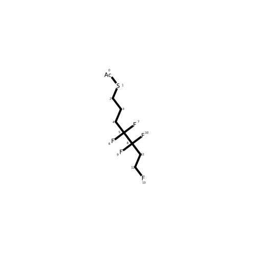 CC(=O)SCCCC(F)(F)C(F)(F)CCF